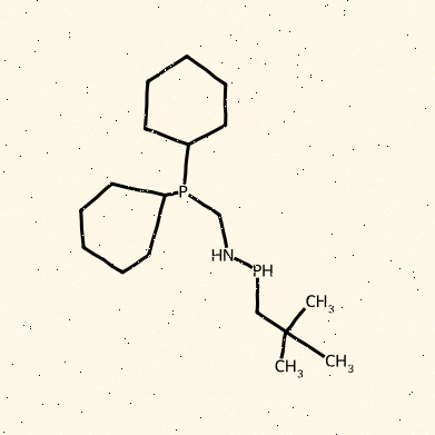 CC(C)(C)CPNCP(C1CCCCC1)C1CCCCC1